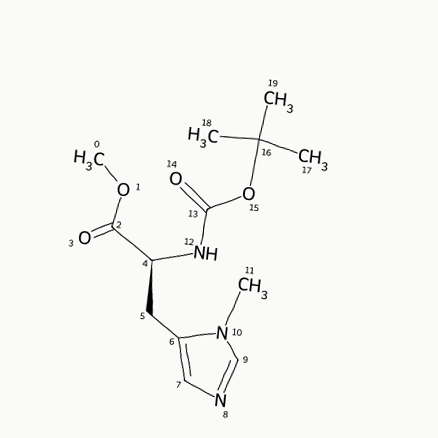 COC(=O)[C@H](Cc1cncn1C)NC(=O)OC(C)(C)C